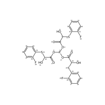 O=C(OP(OC(=O)C(O)Sc1ccccc1F)OC(=O)C(O)Sc1ccccc1F)C(O)Sc1ccccc1F